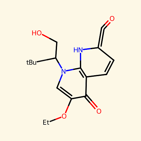 CCOc1cn(C(CO)C(C)(C)C)c2c(c1=O)C=CC(=C=O)N2